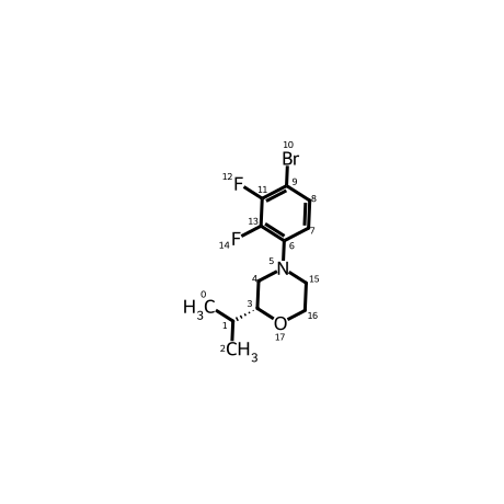 CC(C)[C@@H]1CN(c2ccc(Br)c(F)c2F)CCO1